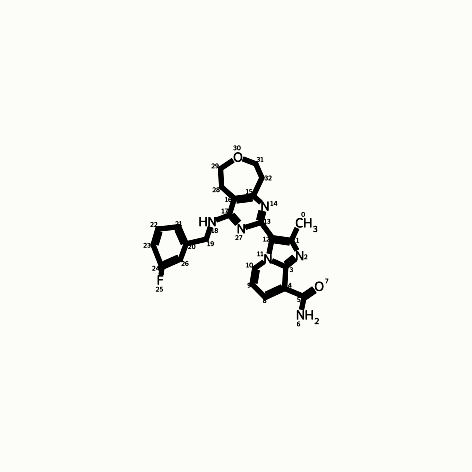 Cc1nc2c(C(N)=O)cccn2c1-c1nc2c(c(NCc3cccc(F)c3)n1)CCOCC2